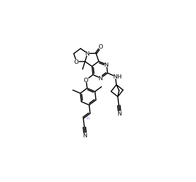 Cc1cc(/C=C/C#N)cc(C)c1Oc1nc(NC23CC(C#N)(C2)C3)nc2c1C1(C)OCCN1C2=O